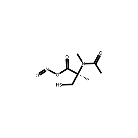 CC(=O)N(C)[C@@](C)(CS)C(=O)ON=O